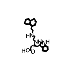 O=C(O)C[C@H](Cc1c[nH]c2ccccc12)NCCNCCc1cccc2ccccc12